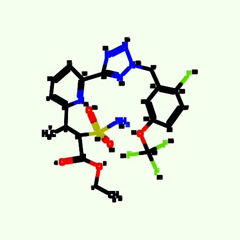 CCOC(=O)C(C(C)c1cccc(-c2nnn(Cc3cc(OC(F)(F)F)ccc3F)n2)n1)S(N)(=O)=O